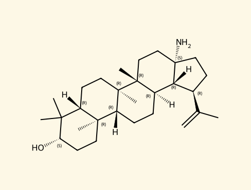 C=C(C)[C@@H]1CC[C@]2(N)CC[C@]3(C)[C@H](CC[C@@H]4[C@@]5(C)CC[C@H](O)C(C)(C)[C@@H]5CC[C@]43C)[C@@H]12